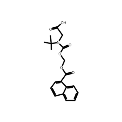 CC(C)(C)N(CC(=O)O)C(=O)OCOC(=O)c1cccc2ccccc12